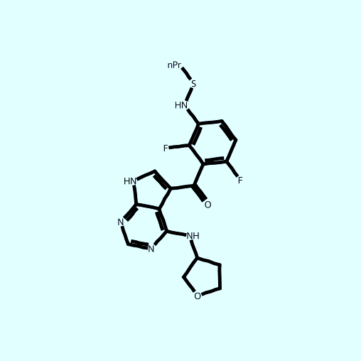 CCCSNc1ccc(F)c(C(=O)c2c[nH]c3ncnc(NC4CCOC4)c23)c1F